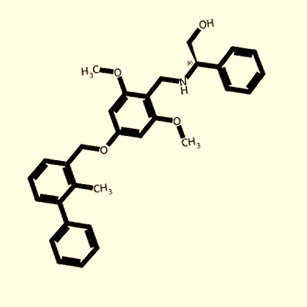 COc1cc(OCc2cccc(-c3ccccc3)c2C)cc(OC)c1CN[C@@H](CO)c1ccccc1